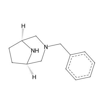 c1ccc(CN2C[C@H]3CC[C@@H](C2)N3)cc1